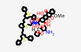 COc1cccc2c1C(=O)c1c(O)c3c(c(O)c1C2=O)CC(O)(C(CO)NNC(=O)CCSC1=C(/C=C/c2cc(-c4ccccc4)[s+]c(-c4ccccc4)c2)CCC/C1=C\C=C1C=C(c2ccccc2)SC(c2ccccc2)=C1)CC3OC1CC(N)C(OC2CCCCO2)C(C)O1